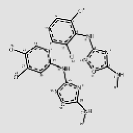 CNc1nc(Nc2c(Cl)cccc2Cl)no1.CNc1nc(Nc2ccc(Cl)c(Cl)c2)no1